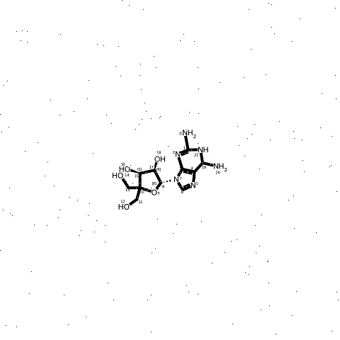 NC1=Nc2c(ncn2[C@@H]2OC(CO)(CO)[C@@H](O)[C@H]2O)C(N)N1